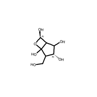 OCC1[C@@H](O)C(O)C2[C@H](O)OC12O